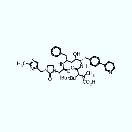 Cc1nc(CN2CCN([C@H](C(=O)N[C@@H](Cc3ccccc3)C[C@@H](O)[C@H](Cc3ccc(-c4cccnc4)cc3)NC(=O)[C@@H](N(C)C(=O)O)C(C)(C)C)C(C)(C)C)C2=O)cs1